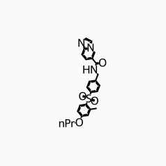 CCCOc1ccc(S(=O)(=O)c2ccc(CNC(=O)c3ccc4nccn4c3)cc2)c(C)c1